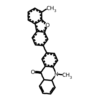 Cc1cccc2c1oc1cc(-c3ccc4c(c3)C(=O)C3C=CC=CC3N4C)ccc12